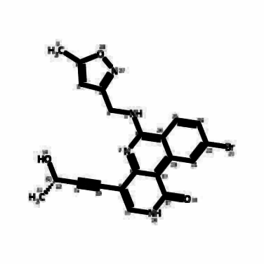 Cc1cc(CNc2nc3c(C#C[C@H](C)O)c[nH]c(=O)c3c3cc(Br)ccc23)no1